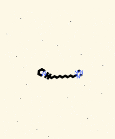 CC(C)(CCCCCCCCCc1ncncn1)C(C)(C)N1CCCCC1